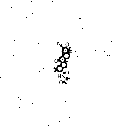 CC(=O)NNC(=O)[C@@H]1CC(C)(C)CC2C1CC[C@]1(C)C2C(=O)C[C@@H]2[C@@]3(C)C=C(C#N)C(=O)C(C)(C)[C@@H]3CC[C@]21C